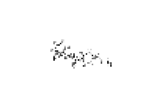 O=CCCN1CCN(C(=O)OCc2ccccc2F)CC1